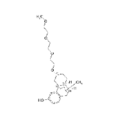 COCCOCCOCCO[C@@H]1CC[C@H]2[C@H]3Cc4ccc(O)cc4[C@@]2(CCN3C)C1